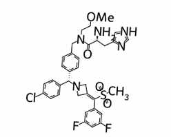 COCCN(Cc1ccc([C@@H](c2ccc(Cl)cc2)N2CC(=C(c3cc(F)cc(F)c3)S(C)(=O)=O)C2)cc1)C(=O)[C@@H](N)Cc1c[nH]cn1